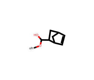 CCCOC(O)C1CC2C=CC1C2